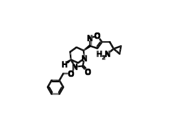 NC1(Cc2cc([C@@H]3CC[C@@H]4CN3C(=O)N4OCc3ccccc3)no2)CC1